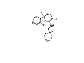 CC1(CNC2=C(F)C=CC(F)(c3ccncc3Cl)N2)CCOCC1